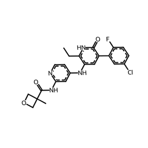 CCc1[nH]c(=O)c(-c2cc(Cl)ccc2F)cc1Nc1ccnc(NC(=O)C2(C)COC2)c1